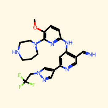 COc1ccc(Nc2cc(-c3cnn(CC(F)(F)F)c3)ncc2C=N)nc1N1CCCNCC1